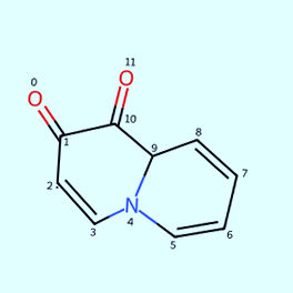 O=C1[C]=CN2C=CC=CC2C1=O